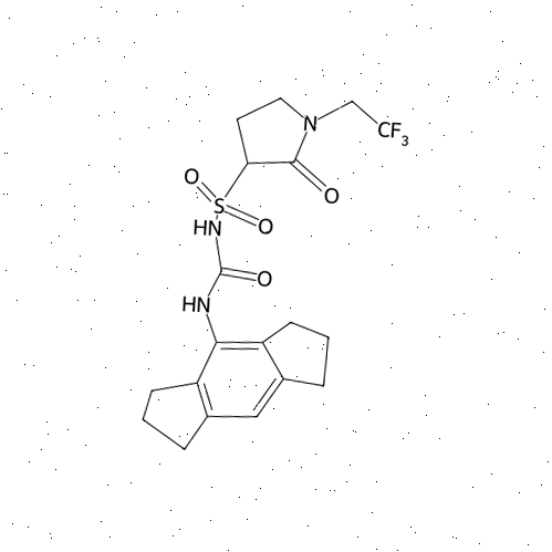 O=C(Nc1c2c(cc3c1CCC3)CCC2)NS(=O)(=O)C1CCN(CC(F)(F)F)C1=O